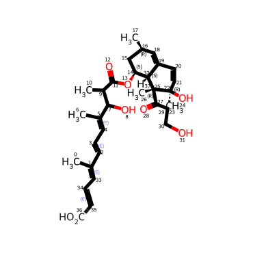 CC(/C=C/C=C(\C)C(O)C(C)C(=O)O[C@H]1C[C@@H](C)C=C2C=C[C@@](C)(O)[C@](C)(C(=O)CCO)[C@H]21)=C\C=C\C(=O)O